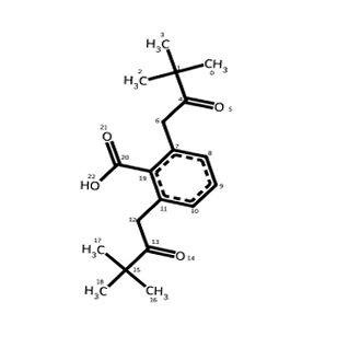 CC(C)(C)C(=O)Cc1cccc(CC(=O)C(C)(C)C)c1C(=O)O